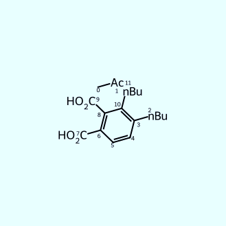 CC(C)=O.CCCCc1ccc(C(=O)O)c(C(=O)O)c1CCCC